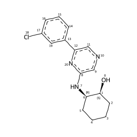 O[C@H]1CCCC[C@H]1Nc1cncc(-c2cccc(Cl)c2)n1